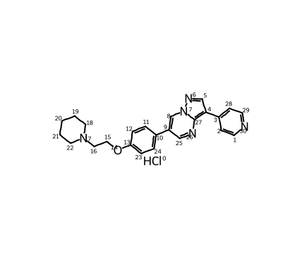 Cl.c1cc(-c2cnn3cc(-c4ccc(OCCN5CCCCC5)cc4)cnc23)ccn1